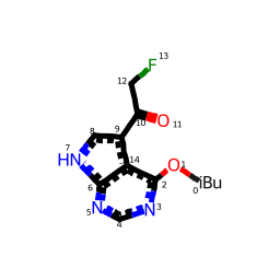 CCC(C)Oc1ncnc2[nH]cc(C(=O)CF)c12